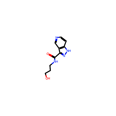 O=C(NCCCO)c1n[nH]c2ccncc12